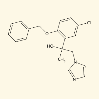 CC(O)(Cn1ccnc1)c1cc(Cl)ccc1OCc1ccccc1